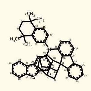 CC1(C)CCC(C)(C)c2cc(N(c3ccc4sc5ccccc5c4c3)c3cccc4c3C3(c5ccccc5-4)C4CC5CC6CC3C64C5)ccc21